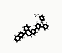 N#Cc1cccc(-n2c3ccccc3c3cc(-c4ccc5c(c4)-c4ccccc4C(c4ccc6ccccc6c4)CC5)ccc32)c1